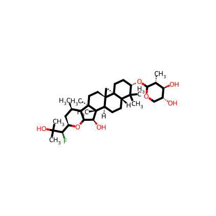 C[C@@H]1C[C@H]([C@@H](F)C(C)(C)O)OC2C1[C@@]1(C)CC[C@@]34C[C@@]35CC[C@H](OC3OC[C@@H](O)[C@H](O)[C@H]3C)C(C)(C)[C@@H]5CC[C@H]4[C@]1(C)[C@H]2O